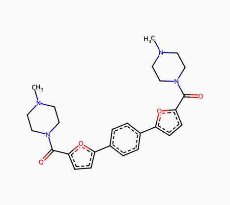 CN1CCN(C(=O)c2ccc(-c3ccc(-c4ccc(C(=O)N5CCN(C)CC5)o4)cc3)o2)CC1